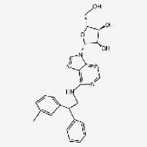 Cc1cccc(C(CNc2ncnc3c2ncn3[C@@H]2O[C@H](CO)[C@@H](O)[C@H]2O)c2ccccc2)c1